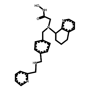 O=C(CN(Cc1ccc(CNCc2ccccn2)cc1)C1CCCc2cccnc21)NO